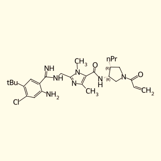 C=CC(=O)N1C[C@@H](CCC)[C@@H](NC(=O)c2c(C)nc(CNC(=N)c3cc(C(C)(C)C)c(Cl)cc3N)n2C)C1